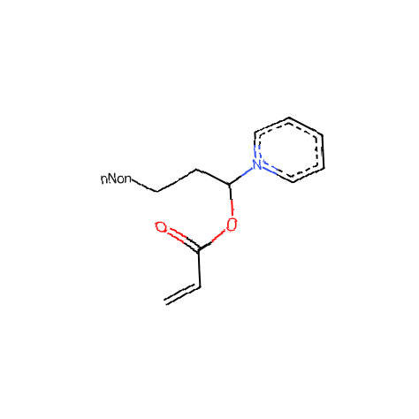 C=CC(=O)OC(CCCCCCCCCCC)[n+]1ccccc1